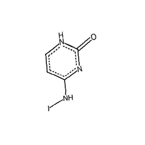 O=c1nc(NI)cc[nH]1